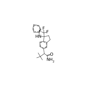 CC(C)(C)C(C(N)=O)c1ccc2c(c1)CCC2(Nc1ccccc1)C(F)(F)F